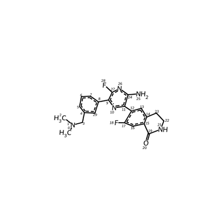 CN(C)Cc1cccc(-c2nc(-c3cc4c(cc3F)C(=O)NCC4)c(N)nc2F)c1